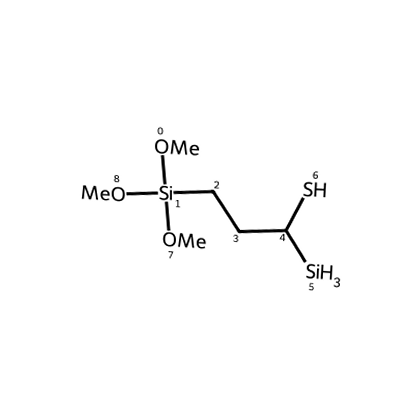 CO[Si](CCC([SiH3])S)(OC)OC